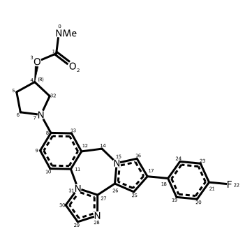 CNC(=O)O[C@@H]1CCN(c2ccc3c(c2)Cn2cc(-c4ccc(F)cc4)cc2-c2nccn2-3)C1